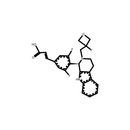 O=C(O)/C=C/c1cc(F)c([C@@H]2c3[nH]c4ccccc4c3CCN2CC2(F)COC2)c(F)c1